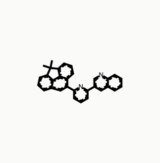 CC1(C)c2cccc3cc(-c4cccc(-c5cnc6ccccc6c5)n4)c4cccc1c4c23